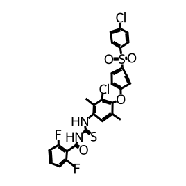 Cc1cc(NC(=S)NC(=O)c2c(F)cccc2F)c(C)c(Cl)c1Oc1ccc(S(=O)(=O)c2ccc(Cl)cc2)cc1